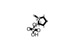 CN1CCCC1.O=S(=O)(O)O